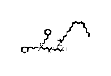 CCCCC/C=C\C/C=C\CCCCCCCC(=O)OCC(CO)COC(=O)CCC(OCCCC1CCCCC1)OCCCC1CCCCC1